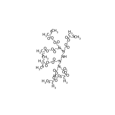 CSCC(C)C(=O)OCCOC(=O)CCN(CCNCCN(CCC(=O)OCCOC(=O)C(C)CSC)CCN(CCC(=O)OCCOC(=O)C(C)CSC)CCC(=O)OCCOC(=O)C(C)CSC)CCN(CCC(=O)OCCOC(=O)C(C)CSC)CCC(=O)OCCOC(=O)C(C)CSC